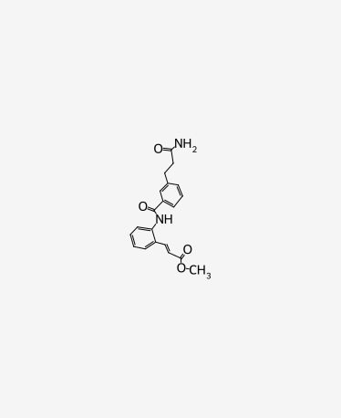 COC(=O)C=Cc1ccccc1NC(=O)c1cccc(CCC(N)=O)c1